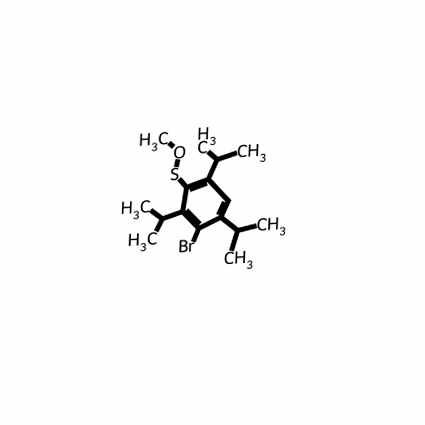 COSc1c(C(C)C)cc(C(C)C)c(Br)c1C(C)C